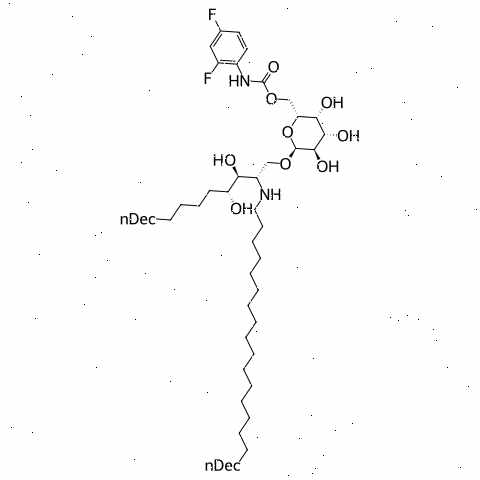 CCCCCCCCCCCCCCCCCCCCCCCCCCN[C@@H](CO[C@H]1O[C@H](COC(=O)Nc2ccc(F)cc2F)[C@H](O)[C@H](O)[C@H]1O)[C@H](O)[C@H](O)CCCCCCCCCCCCCC